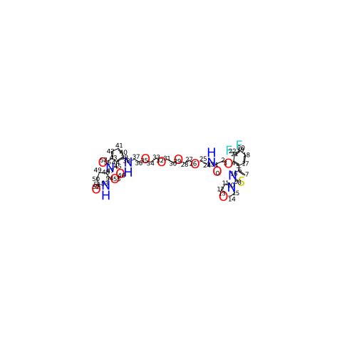 O=C(COc1c(-c2csc(N3CCOCC3)n2)ccc(F)c1F)NCCOCCOCCOCCOCCNc1cccc2c1C(=O)N(C1CCC(=O)NC1=O)C2=O